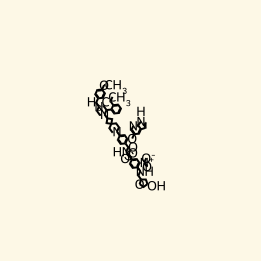 COc1ccc(CN2CCN(C3CC4(CCN(c5ccc(C(=O)NS(=O)(=O)c6ccc(NCC7CC(O)CO7)c([N+](=O)[O-])c6)c(Oc6cnc7[nH]ccc7c6)c5)CC4)C3)C(c3ccccc3C(C)C)C2)cc1